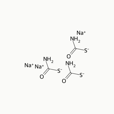 NC(=O)[S-].NC(=O)[S-].NC(=O)[S-].[Na+].[Na+].[Na+]